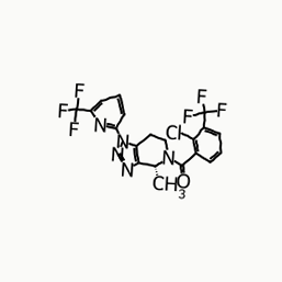 C[C@@H]1c2nnn(-c3cccc(C(F)(F)F)n3)c2CCN1C(=O)c1cccc(C(F)(F)F)c1Cl